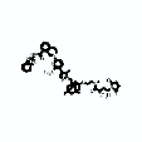 Cc1c(-c2ccc(N3CCc4cccc(C(=O)Nc5nc6ccccc6s5)c4C3)nc2C(=O)O)cnn1CC12CC3(C)CC(C)(C1)CC(OCCN(C)C(=O)C(CCN1C(=O)C=CC1=O)S(=O)(=O)O)(C3)C2